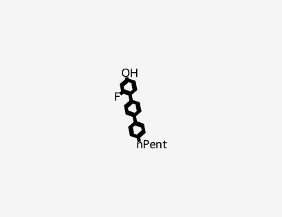 CCCCCc1ccc(-c2ccc(-c3ccc(O)cc3F)cc2)cc1